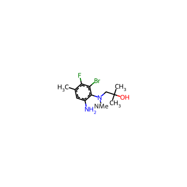 CNN(CC(C)(C)O)c1c(N)cc(C)c(F)c1Br